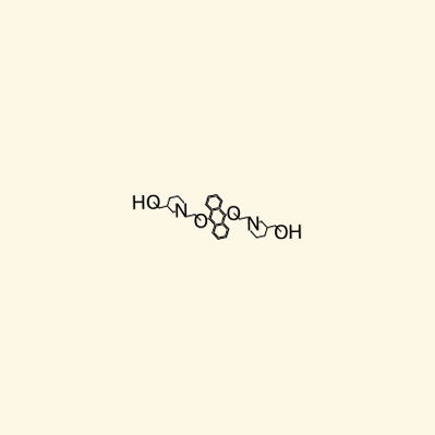 OCC1CCCN(CCOc2c3ccccc3c(OCCN3CCCC(CO)C3)c3ccccc23)C1